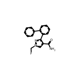 NC(=O)c1cn(CF)nc1-c1ccccc1-c1ccccc1